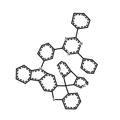 c1ccc(-c2nc(-c3ccccc3)nc(-c3cccc(-n4c5ccccc5c5cc6c(cc54)C4(c5ccccc5S6)c5ccccc5-c5ccccc54)c3)n2)cc1